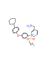 NCC1=C[N+](c2ccc(Oc3ccc(C4CCCCC4)cc3)cc2)(S(=O)(=O)CC(F)(F)F)CC=C1